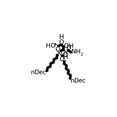 CCCCCCCCCCCCCCCCCCOC(=O)N(CCCCCCCCCCCCCCCCCC)[C@@H]1O[C@H](CO)[C@H](O)[C@H](O)[C@H]1NC(=O)CN